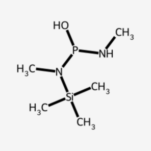 CNP(O)N(C)[Si](C)(C)C